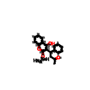 CC(=O)CC(c1ccccc1)c1c(O)c2ccccc2oc1=O.[NaH].[NaH]